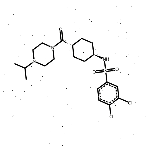 CC(C)N1CCN(C(=O)[C@H]2CC[C@H](NS(=O)(=O)c3ccc(Cl)c(Cl)c3)CC2)CC1